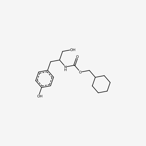 O=C(NC(CO)Cc1ccc(O)cc1)OCC1CCCCC1